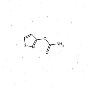 NC(=O)Oc1ccsn1